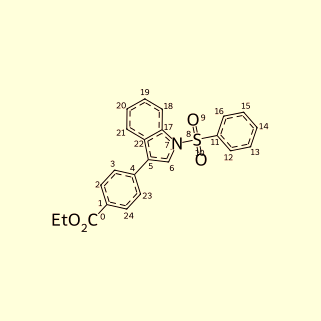 CCOC(=O)c1ccc(-c2cn(S(=O)(=O)c3ccccc3)c3ccccc23)cc1